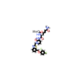 COC(=O)N[C@@H](CC/C=C/C(=O)N(C)C)C(=O)Nc1cccn(Cc2nc3cccc(COc4ccc(F)cc4F)c3s2)c1=O